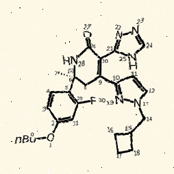 CCCCOc1ccc([C@]2(C)CC(c3ccn(CC4CCC4)n3)=C(c3nnc[nH]3)C(=O)N2)c(F)c1